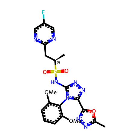 COc1cccc(OC)c1-n1c(NS(=O)(=O)[C@H](C)Cc2ncc(F)cn2)nnc1-c1nnc(C)o1